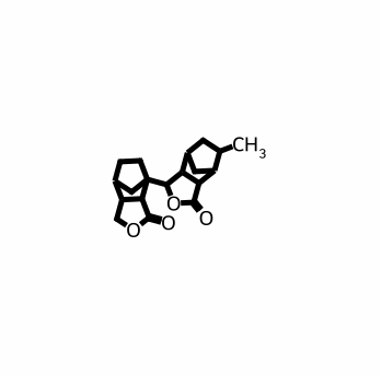 CC1CC2CC1C1C(=O)OC(C34CCC(C3)C3COC(=O)C34)C21